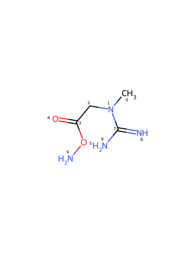 CN(CC(=O)ON)C(=N)N